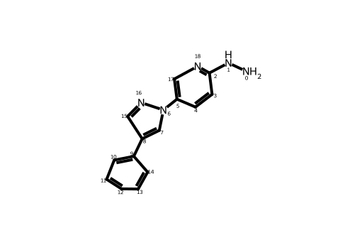 NNc1ccc(-n2cc(-c3ccccc3)cn2)cn1